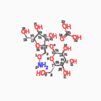 NOC[C@@]1(O[C@@H]2O[C@@H](CO)[C@H](O)[C@@H](O)[C@@H]2O)O[C@H](CO)[C@@H](O)[C@@H]1O.O=C(O)O